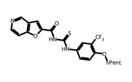 CCCCCOc1ccc(NC(=S)NC(=O)c2cc3cnccc3o2)cc1C(F)(F)F